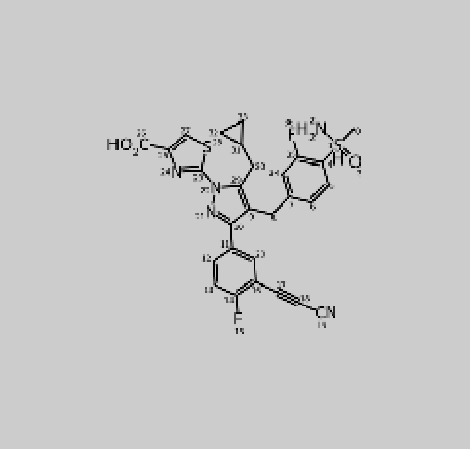 C[SH](N)(=O)c1ccc(Cc2c(-c3ccc(F)c(C#CC#N)c3)nn(-c3nc(C(=O)O)cs3)c2CC2CC2)cc1F